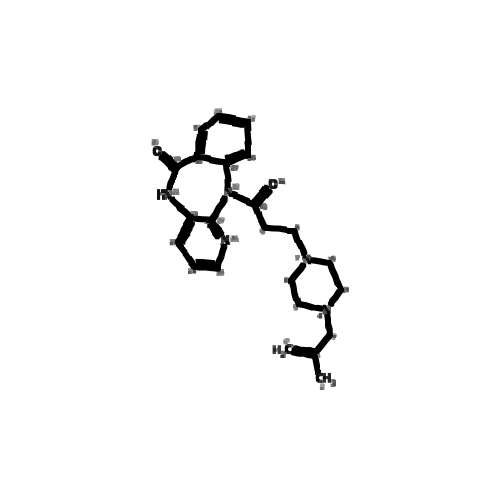 C=C(C)CN1CCN(CCC(=O)N2c3ccccc3C(=O)Nc3cccnc32)CC1